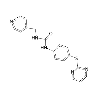 O=C(NCc1ccncc1)Nc1ccc(Sc2ncccn2)cc1